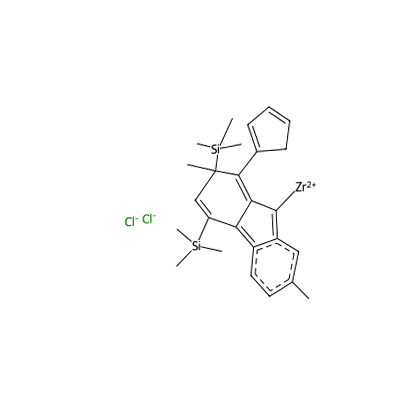 Cc1ccc2c(c1)=[C]([Zr+2])C1=C(C3=CC=CC3)C(C)([Si](C)(C)C)C=C([Si](C)(C)C)C=21.[Cl-].[Cl-]